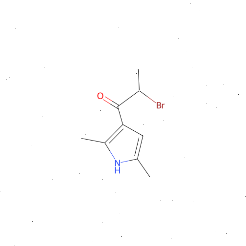 Cc1cc(C(=O)C(C)Br)c(C)[nH]1